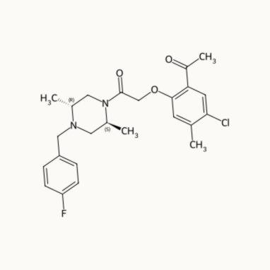 CC(=O)c1cc(Cl)c(C)cc1OCC(=O)N1C[C@@H](C)N(Cc2ccc(F)cc2)C[C@@H]1C